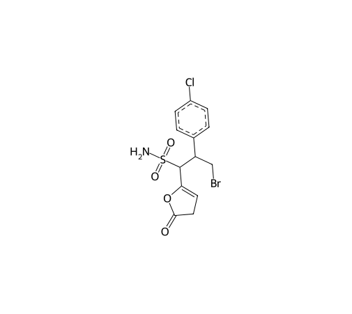 NS(=O)(=O)C(C1=CCC(=O)O1)C(CBr)c1ccc(Cl)cc1